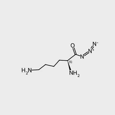 [N-]=[N+]=NC(=O)[C@@H](N)CCCCN